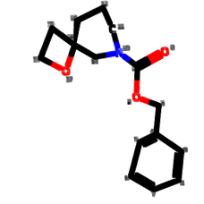 O=C(OCc1ccccc1)N1CCC[C@@]2(CCO2)C1